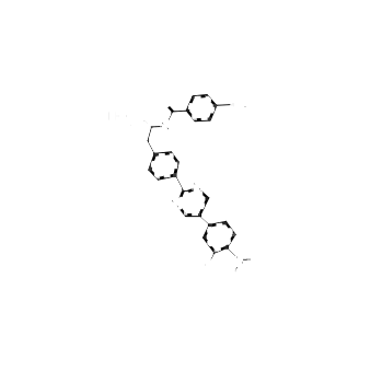 Cc1cc(-c2cnc(-c3ccc(C[C@H](NC(=O)c4ccc(C(C)(C)C)cc4)C(=O)O)cc3)nc2)ccc1N(C)C